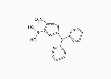 O=[N+]([O-])c1ccc(N(c2ccccc2)c2ccccc2)cc1B(O)O